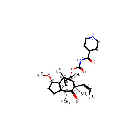 C/C=C\[C@]1(C)C[C@@H](OC(=O)NC(=O)C2CCNCC2)[C@]2(C)C(C)CCC3(CC[C@@H](OC)C32)[C@@H](C)C1=O